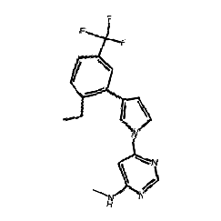 CCc1ccc(C(F)(F)F)cc1-c1ccn(-c2cc(NC)ncn2)c1